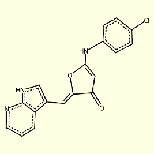 O=C1C=C(Nc2ccc(Cl)cc2)O/C1=C\c1c[nH]c2ncccc12